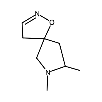 CC1CC2(CC=NO2)CN1C